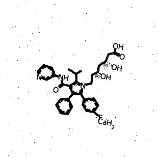 CC(C)c1c(C(=O)Nc2cccnc2)c(-c2ccccc2)c(-c2ccc(F)cc2)n1CC[C@@H](O)C[C@@H](O)CC(=O)O.[CaH2]